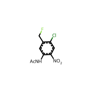 CC(=O)Nc1cc(CF)c(Cl)cc1[N+](=O)[O-]